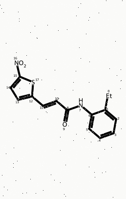 CCc1ccccc1NC(=O)/C=C/c1ccc([N+](=O)[O-])s1